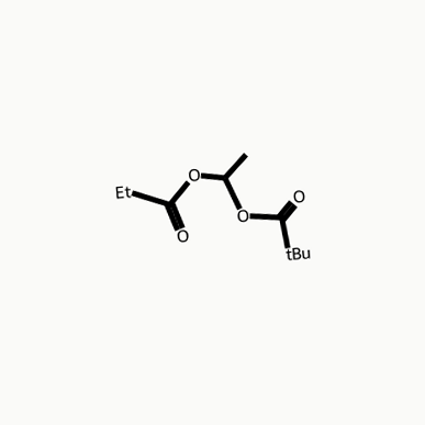 CCC(=O)OC(C)OC(=O)C(C)(C)C